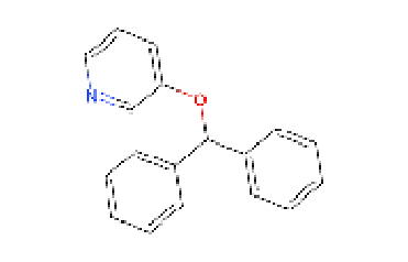 [c]1ncccc1OC(c1ccccc1)c1ccccc1